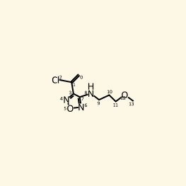 C=C(Cl)c1nonc1NCCCOC